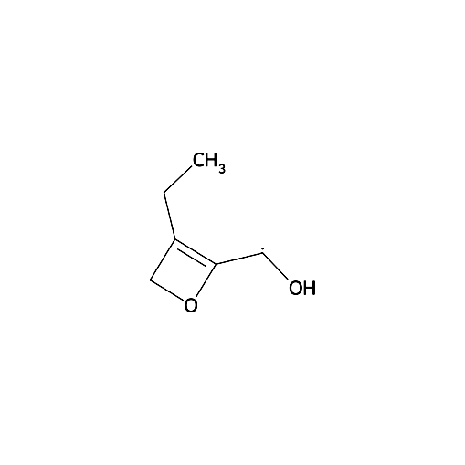 CCC1=C([CH]O)OC1